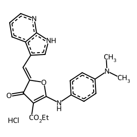 CCOC(=O)C1=C(Nc2ccc(N(C)C)cc2)OC(=Cc2c[nH]c3ncccc23)C1=O.Cl